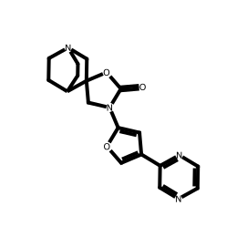 O=C1OC2(CN3CCC2CC3)CN1c1cc(-c2cnccn2)co1